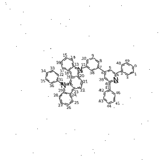 c1ccc(-c2cc(-c3cccc(-n4c5ccccc5c5c4ccc4c6ccccc6n(-c6ccccc6)c45)c3)cc(-c3ccccc3)n2)cc1